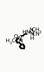 CN=C(NC#N)NCCCCn1nc(-c2ccccc2)cc(C)c1=O